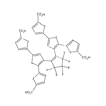 O=C(O)c1ccc(-c2cc(C3=C(c4cc(-c5ccc(C(=O)O)s5)sc4-c4ccc(C(=O)O)s4)C(F)(F)C(F)(F)C3(F)F)c(-c3ccc(C(=O)O)s3)s2)s1